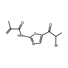 C=C(C)C(=O)Nc1ncc(C(=O)C(C)Br)s1